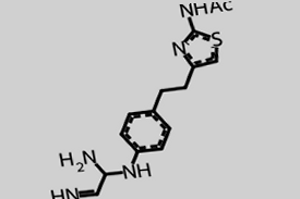 CC(=O)Nc1nc(CCc2ccc(NC(N)C=N)cc2)cs1